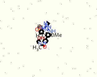 COc1cc(C2CCN(C(=O)[C@H](C)N3CC[C@H](O)C3)CC2)c(C)cc1Nc1nc(Nc2ccccc2S(=O)(=O)C(C)C)n2nccc2n1